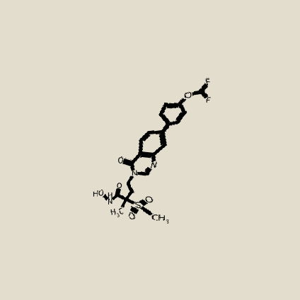 CC(CCn1cnc2cc(-c3ccc(OC(F)F)cc3)ccc2c1=O)(C(=O)NO)S(C)(=O)=O